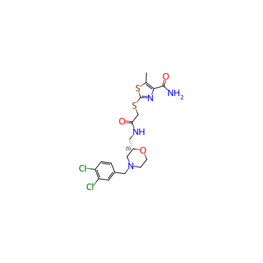 Cc1sc(SCC(=O)NC[C@H]2CN(Cc3ccc(Cl)c(Cl)c3)CCO2)nc1C(N)=O